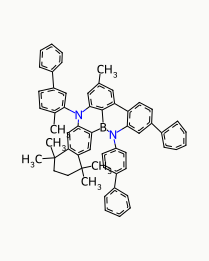 Cc1cc2c3c(c1)N(c1cc(-c4ccccc4)ccc1C)c1cc4c(cc1B3N(c1ccc(-c3ccccc3)cc1)c1cc(-c3ccccc3)ccc1-2)C(C)(C)CCC4(C)C